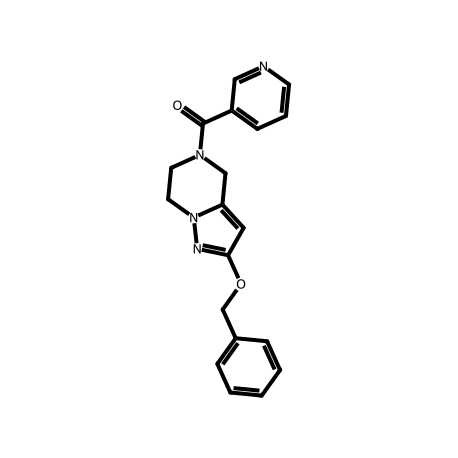 O=C(c1cccnc1)N1CCn2nc(OCc3ccccc3)cc2C1